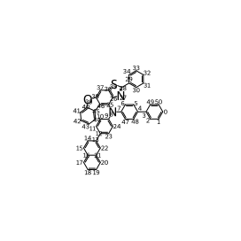 c1ccc(-c2ccc(N(c3ccc(-c4ccc5ccccc5c4)cc3)c3c4nc(-c5ccccc5)sc4cc4oc5ccccc5c34)cc2)cc1